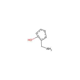 Oc1ccccc1[CH2][AlH2]